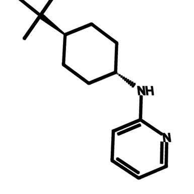 CC(C)(C)[C@H]1CC[C@H](Nc2ccccn2)CC1